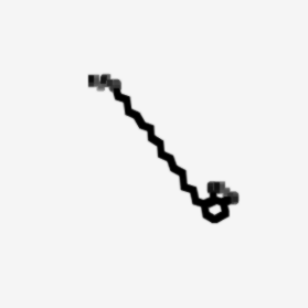 COCCCCCCCCCCCCCCCC1=C(C)C(=O)CCC1